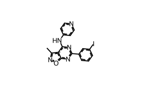 Cc1noc2nc(-c3cccc(I)c3)nc(Nc3ccncc3)c12